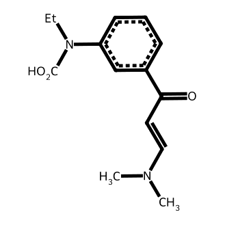 CCN(C(=O)O)c1cccc(C(=O)C=CN(C)C)c1